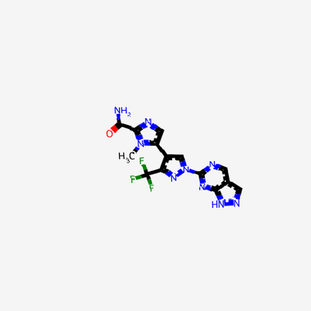 Cn1c(-c2cn(-c3ncc4cn[nH]c4n3)nc2C(F)(F)F)cnc1C(N)=O